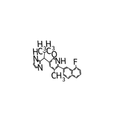 Cc1cc(C(c2ncc[nH]2)C(C)C)c(=O)[nH]c1-c1ccc2cccc(F)c2c1